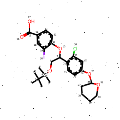 CC(C)(C)[Si](C)(C)OCC(Oc1ccc(C(=O)O)cc1I)c1ccc(OC2CCCCO2)cc1Cl